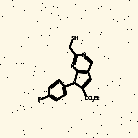 CCOC(=O)c1cc2cnc(CS)nc2n1-c1ccc(F)cc1